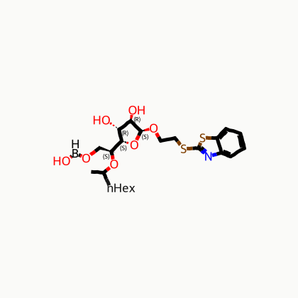 CCCCCCC(C)O[C@@H](COBO)[C@H]1O[C@H](OCCSc2nc3ccccc3s2)[C@H](O)[C@H]1O